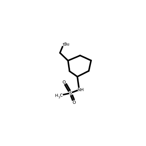 CC(C)(C)CC1CCCC(NS(C)(=O)=O)C1